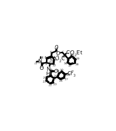 CCOC(=O)C(COC(=O)CC1=CC(C(=O)N(C)C)C(NC(=O)c2ccccc2-c2ccc(C(F)(F)F)cc2)C=C1)(C(=O)OCC)c1ccccc1